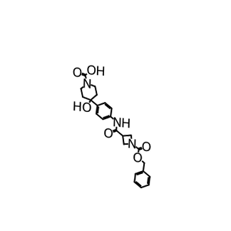 O=C(Nc1ccc(C2(O)CCN(C(=O)O)CC2)cc1)C1CN(C(=O)OCc2ccccc2)C1